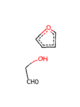 O=CCO.c1ccoc1